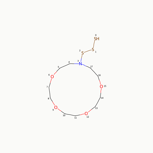 SSSN1CCOCCOCCOCCOCC1